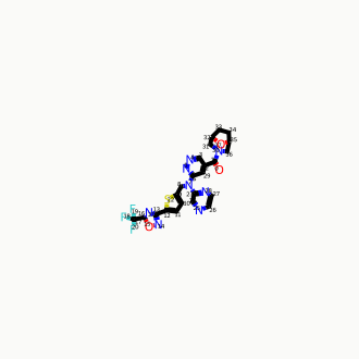 O=C(c1cnnc(N(Cc2ccc(-c3noc(C(F)(F)F)n3)s2)c2cnccn2)c1)N1CC2CCC(C1)O2